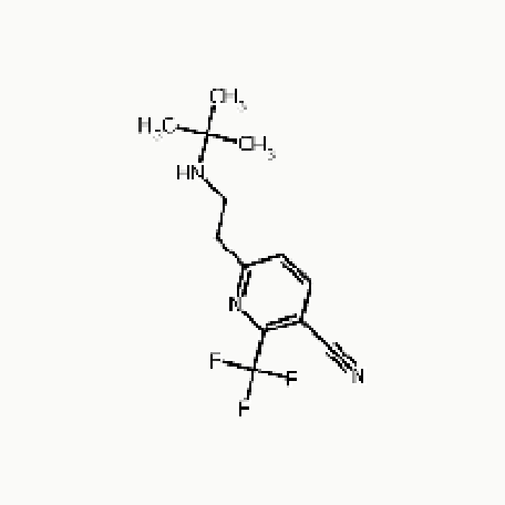 CC(C)(C)NCCc1ccc(C#N)c(C(F)(F)F)n1